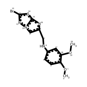 COc1ccc(NCc2cn3nc(Br)sc3n2)cc1OC